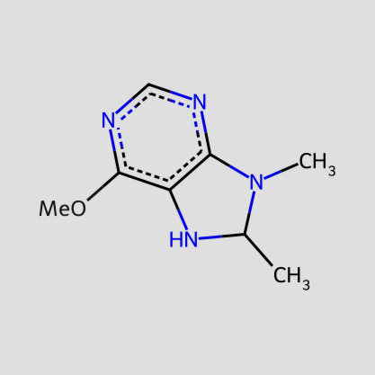 COc1ncnc2c1NC(C)N2C